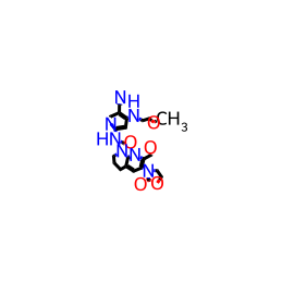 COCCNc1cc(NC(=O)N2CCCc3cc(N4CCOC4=O)c(C=O)nc32)ncc1C#N